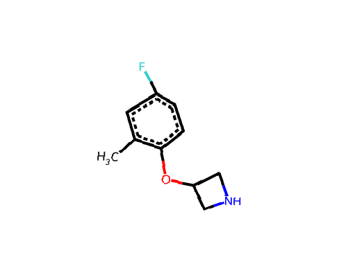 Cc1cc(F)ccc1OC1CNC1